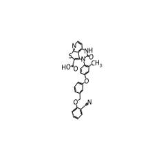 Cc1cc(Oc2cccc(COc3ccccc3C#N)c2)ccc1N1C(=O)Nc2ccnc3sc(C(=O)O)c1c23